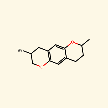 CC1CCc2cc3c(cc2O1)CC(C(C)C)CO3